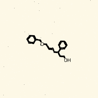 OCCC(CC=CCOCc1ccccc1)c1ccccc1